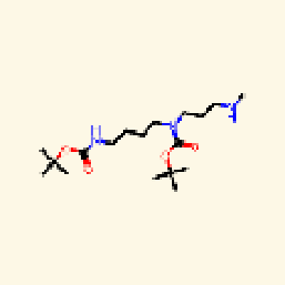 CNCCCN(CCCCNC(=O)OC(C)(C)C)C(=O)OC(C)(C)C